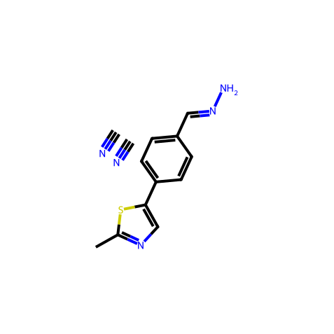 C#N.C#N.Cc1ncc(-c2ccc(C=NN)cc2)s1